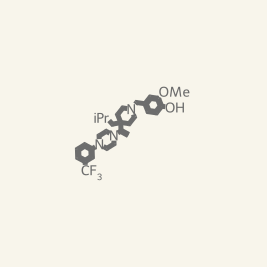 C=C(N1CCN(c2cccc(C(F)(F)F)c2)CC1)C1(CC(C)C)CCN(Cc2ccc(O)c(OC)c2)CC1